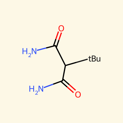 CC(C)(C)C(C(N)=O)C(N)=O